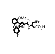 COc1cccc(OC)c1-c1cc(C(=O)NC(CC(=O)O)CC(C)C)nn1-c1cccc(F)c1